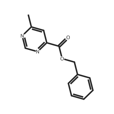 Cc1cc(C(=O)OCc2ccccc2)ncn1